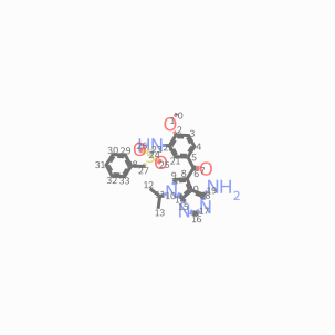 COc1ccc(C(=O)c2cn(C(C)C)c3ncnc(N)c23)cc1NS(=O)(=O)Cc1ccccc1